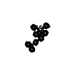 C/C(=N\C1=C(Cc2ccccc2)c2ccccc2C12c1ccccc1-c1ccc(-c3ccc(-n4c5ccccc5c5ccccc54)cc3)cc12)c1ccccc1